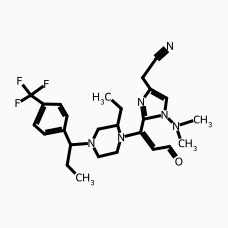 CCC(c1ccc(C(F)(F)F)cc1)N1CCN(/C(=C/C=O)c2nc(CC#N)cn2N(C)C)C(CC)C1